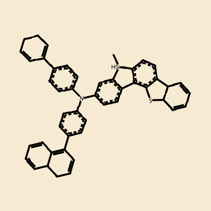 C[SiH]1c2cc(N(c3ccc(C4=CCCC=C4)cc3)c3ccc(C4=C5C=CC=CC5CC=C4)cc3)ccc2-c2c1ccc1c2SC2C=CC=CC12